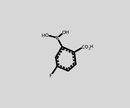 O=C(O)c1ccc(F)cc1B(O)O